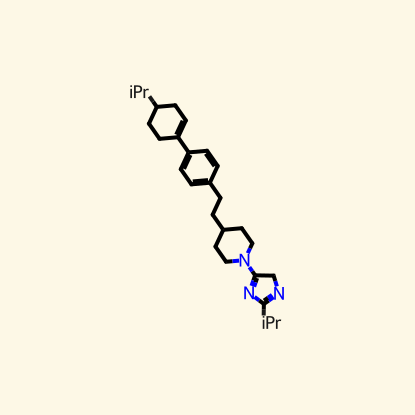 CC(C)C1=NCC(N2CCC(CCc3ccc(C4=CCC(C(C)C)CC4)cc3)CC2)=N1